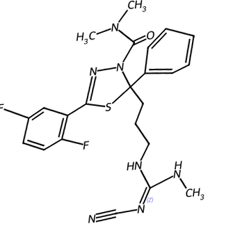 CN/C(=N/C#N)NCCCC1(c2ccccc2)SC(c2cc(F)ccc2F)=NN1C(=O)N(C)C